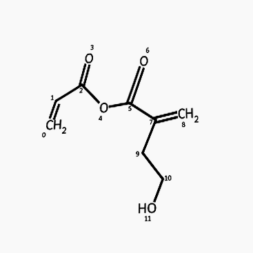 C=CC(=O)OC(=O)C(=C)CCO